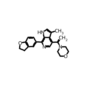 C=C(c1cnc(-c2ccc3c(c2)CCO3)c2[nH]cc(C)c12)N1CCOCC1